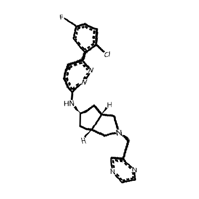 Fc1ccc(Cl)c(-c2ccc(N[C@H]3C[C@@H]4CN(Cc5cnccn5)C[C@@H]4C3)nn2)c1